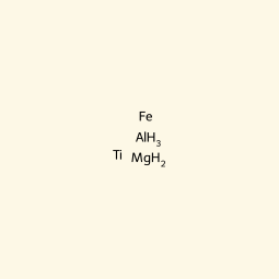 [AlH3].[Fe].[MgH2].[Ti]